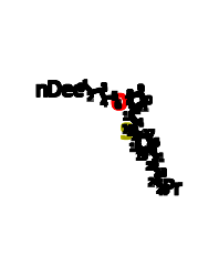 CCCCCCCCCCCCCCCOc1ccccc1C=CC(=S)c1ccc(CCCCC(C)C)cc1